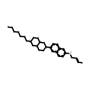 C/C=C/COc1ccc2cc(C3CCC4CC(CCCCCCC)CCC4C3)ccc2c1